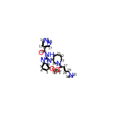 CC(C)Oc1cccc2nc(NC(=O)c3ccnnc3)n([C@@H]3CCCCN(C(=O)C=CCN(C)C)C3)c12